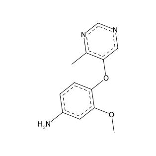 COc1cc(N)ccc1Oc1cncnc1C